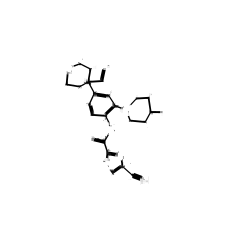 CC1CCN(c2cc(C3(C=O)CCOCC3)ccc2NC(=O)c2nc(C#N)c[nH]2)CC1